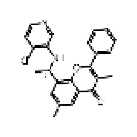 Cc1cc([C@@H](C)Nc2cnccc2Cl)c2oc(-c3ccccc3)c(C)c(=O)c2c1